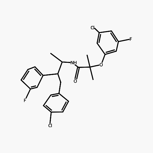 CC(NC(=O)C(C)(C)Oc1cc(F)cc(Cl)c1)C(Cc1ccc(Cl)cc1)c1cccc(F)c1